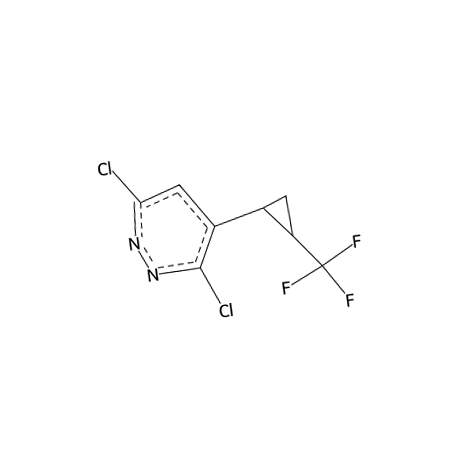 FC(F)(F)C1CC1c1cc(Cl)nnc1Cl